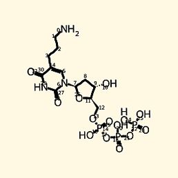 NCCCc1cn([C@H]2C[C@H](O)[C@@H](COP(=O)(O)OP(=O)(O)OP(=O)(O)O)O2)c(=O)[nH]c1=O